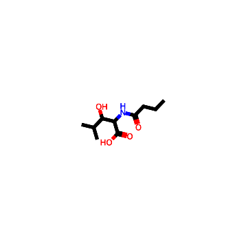 CCCC(=O)NC(C(=O)O)C(O)C(C)C